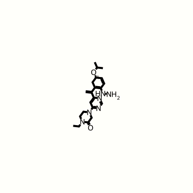 C=C(C1=C(NN)C=C[C@H](OC(C)C)C1)c1cc(N2CCN(CC)C(=O)C2)ncn1